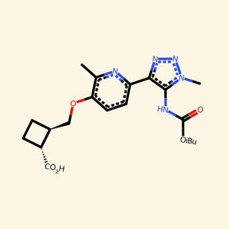 Cc1nc(-c2nnn(C)c2NC(=O)OCC(C)C)ccc1OC[C@@H]1CC[C@H]1C(=O)O